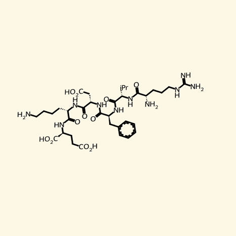 CC(C)[C@H](NC(=O)[C@@H](N)CCCNC(=N)N)C(=O)N[C@@H](Cc1ccccc1)C(=O)N[C@@H](CC(=O)O)C(=O)N[C@@H](CCCCN)C(=O)N[C@@H](CCC(=O)O)C(=O)O